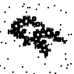 C=CC(=O)N1CCC(Oc2cnc3[nH]cc(C(=O)NCC4CC4)c3c2)CC1.C=CC(=O)N1CCC(Oc2cnc3[nH]cc(C(=O)N[C@H]4CC[C@@H](F)C4)c3c2)CC1